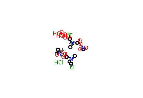 COc1cc(CN(CC2CCCCC2)C(C)c2ccc(C(F)(F)F)cc2)ccc1OCCN1C(=O)CCC1=O.COc1cc(CN(CC2CCCCC2)[C@H]2CCc3cc(Cl)ccc32)ccc1OCCN1C(=O)[C@H]2CC=CC[C@H]2C1=O.Cl.O=C(O)O.O=C(O)O